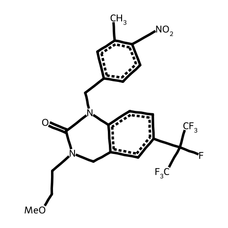 COCCN1Cc2cc(C(F)(C(F)(F)F)C(F)(F)F)ccc2N(Cc2ccc([N+](=O)[O-])c(C)c2)C1=O